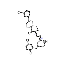 CC/C(=C\N=C1/CN(Cc2cc(Cl)ccc2Cl)CCN1)C(=O)N1CCN(c2cccc(Cl)c2)CC1